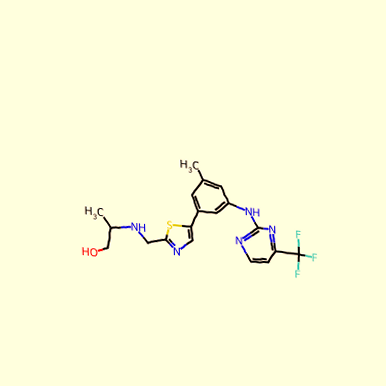 Cc1cc(Nc2nccc(C(F)(F)F)n2)cc(-c2cnc(CNC(C)CO)s2)c1